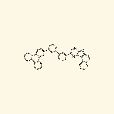 c1cc(-c2cccc(-c3cnc4oc5ccc6ccccc6c5c4n3)c2)cc(-c2ccc3c4ccccc4c4ccccc4c3c2)c1